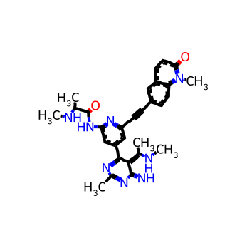 CN/C(C)=C1\C(=N)N=C(C)N=C1c1cc(C#Cc2ccc3c(ccc(=O)n3C)c2)nc(NC(=O)C(C)NC)c1